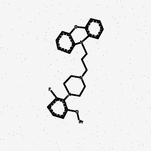 CC(C)Oc1cccc(F)c1N1CCN(CCCN2c3ccccc3Oc3ccccc32)CC1